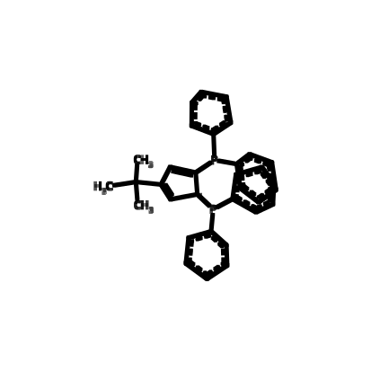 CC(C)(C)C1=C[C](P(c2ccccc2)c2ccccc2)C(P(c2ccccc2)c2ccccc2)=C1